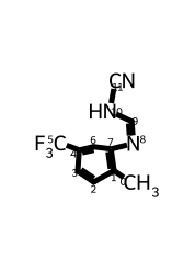 Cc1ccc(C(F)(F)F)cc1/N=C\NC#N